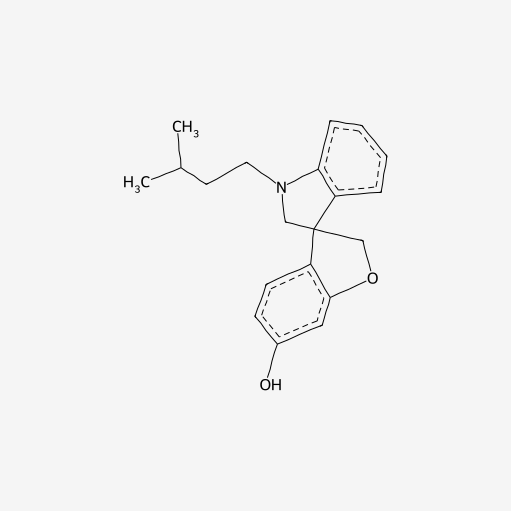 CC(C)CCN1CC2(COc3cc(O)ccc32)c2ccccc21